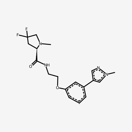 CN1CC(F)(F)C[C@@H]1C(=O)NCCOc1c[c]cc(-c2cnn(C)c2)c1